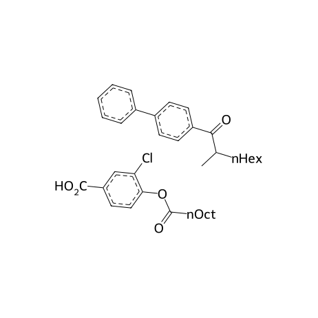 CCCCCCC(C)C(=O)c1ccc(-c2ccccc2)cc1.CCCCCCCCC(=O)Oc1ccc(C(=O)O)cc1Cl